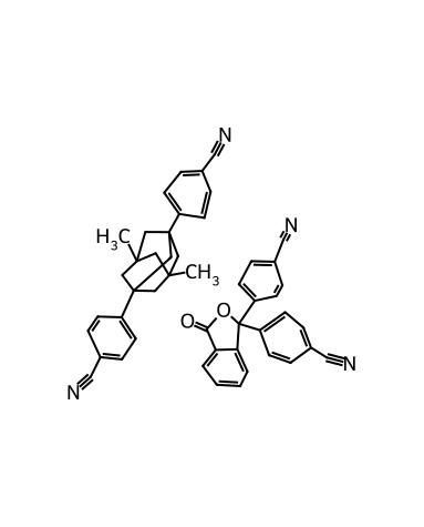 CC12CC3(C)CC(c4ccc(C#N)cc4)(C1)CC(c1ccc(C#N)cc1)(C2)C3.N#Cc1ccc(C2(c3ccc(C#N)cc3)OC(=O)c3ccccc32)cc1